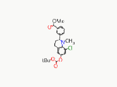 COC(=O)c1cccc(C2CCc3cc(OC(=O)OC(C)(C)C)cc(Cl)c3N2C)c1